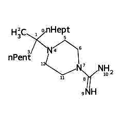 CCCCCCCC(C)(CCCCC)N1CCN(C(=N)N)CC1